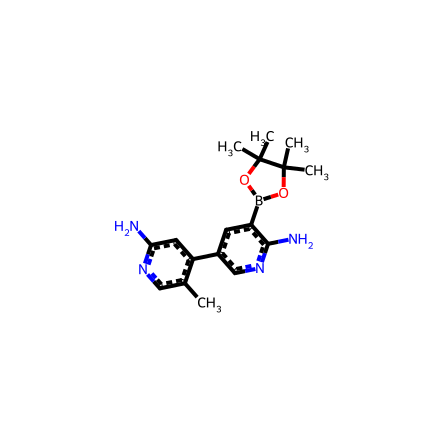 Cc1cnc(N)cc1-c1cnc(N)c(B2OC(C)(C)C(C)(C)O2)c1